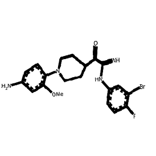 COc1cc(N)ccc1N1CCC(C(=O)C(=N)Nc2ccc(F)c(Br)c2)CC1